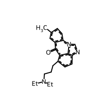 CCN(CC)CCCc1ccc2ncn3c4ccc(C)cc4c(=O)c1c23